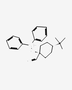 CC(C)(C)[C@H]1CC[C@@](C=O)(O[SiH](c2ccccc2)c2ccccc2)CC1